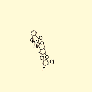 Cc1cc(Oc2ccc(F)cc2Cl)c(Cl)c(C)c1NC(=O)NC(=O)c1ccccc1Cl